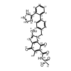 CCCCc1nc2c(n1Cc1ccc(-c3ccccc3-c3nnn[nH]3)cc1)C(=O)C(C(=O)NS(C)(=O)=O)=C(C)C2=O